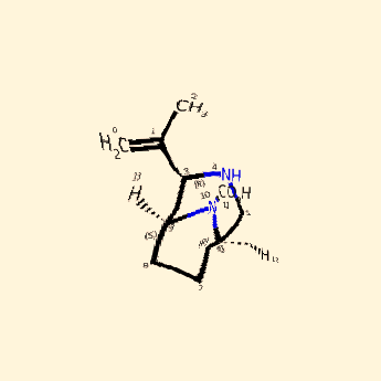 C=C(C)[C@H]1NC[C@H]2CC[C@@H]1N2C(=O)O